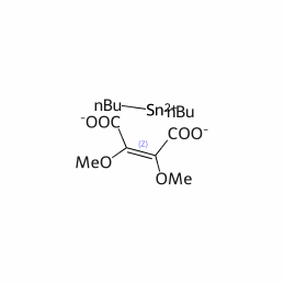 CCC[CH2][Sn+2][CH2]CCC.CO/C(C(=O)[O-])=C(\OC)C(=O)[O-]